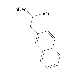 CCCCCCCCCCC(CCCCCCCC)Cc1[c]c2ccccc2cc1